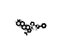 C=C(C)[C@@H]1CC[C@]2(C(=O)N3CCC[C@H]3c3nc(-c4ccccc4)c[nH]3)CC[C@]3(C)[C@H](CC[C@@H]4[C@@]5(C)CC[C@H](C)C(C)(C)[C@@H]5CC[C@]43C)[C@@H]12